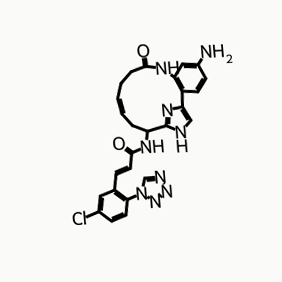 Nc1ccc2c(c1)NC(=O)CCC=CCC(NC(=O)C=Cc1cc(Cl)ccc1-n1cnnn1)c1nc-2c[nH]1